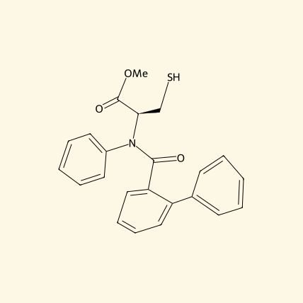 COC(=O)[C@@H](CS)N(C(=O)c1ccccc1-c1ccccc1)c1ccccc1